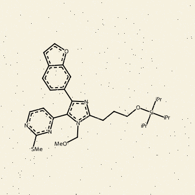 COCn1c(CCCO[Si](C(C)C)(C(C)C)C(C)C)nc(-c2ccc3ccoc3c2)c1-c1ccnc(SC)n1